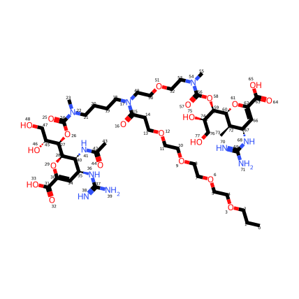 CCCOCCOCCOCCOCCC(=O)N(CCCCN(C)C(=O)O[C@@H]([C@@H]1OC(C(=O)O)=C[C@H](NC(=N)N)[C@H]1NC(C)=O)[C@H](O)CO)CCOCCN(C)C(=O)O[C@@H]([C@@H]1OC(C(=O)O)=C[C@H](NC(=N)N)[C@H]1C)[C@H](O)CO